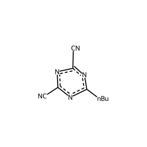 CCCCc1nc(C#N)nc(C#N)n1